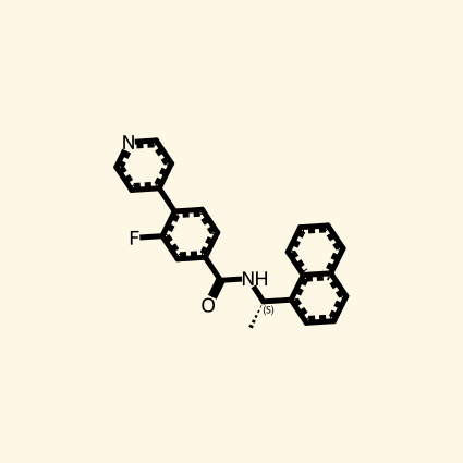 C[C@H](NC(=O)c1ccc(-c2ccncc2)c(F)c1)c1cccc2ccccc12